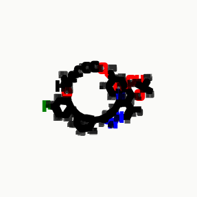 Cc1cn2nc3cc2c(c1[C@H](OC(C)(C)C)C(=O)O)N1CCC(C)(CC1)OCCCC[C@H](C)Oc1cc(F)ccc1-c1cccc-3c1